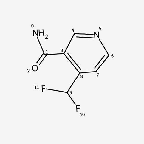 NC(=O)c1cnccc1C(F)F